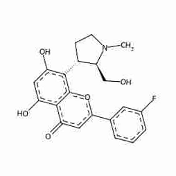 CN1CC[C@@H](c2c(O)cc(O)c3c(=O)cc(-c4cccc(F)c4)oc23)[C@@H]1CO